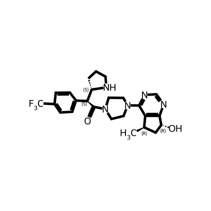 C[C@@H]1C[C@@H](O)c2ncnc(N3CCN(C(=O)[C@@H](c4ccc(C(F)(F)F)cc4)[C@@H]4CCCN4)CC3)c21